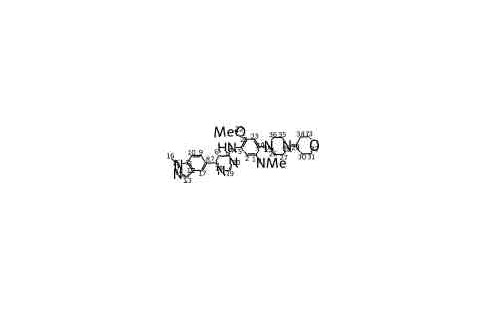 CNc1cc(Nc2cc(-c3ccc4c(cnn4C)c3)ncn2)c(OC)cc1N1CCN(C2CCOCC2)CC1